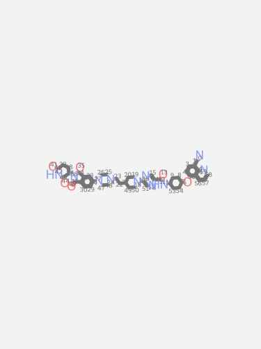 N#Cc1ccc(O[C@H]2CC[C@H](NC(=O)c3cnc(N4CCC(CCN5CCN(c6ccc7c(c6)C(=O)N(C6CCC(=O)NC6=O)C7=O)CC5)CC4)cn3)CC2)c2cccnc12